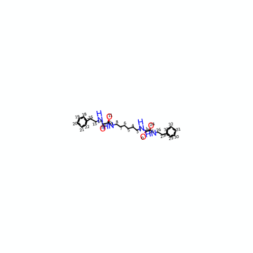 O=C(NCCCCCCNC(=O)C(=O)NCCc1ccccc1)C(=O)NCCc1ccccc1